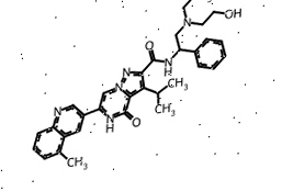 CCN(CCO)CC(NC(=O)c1nn2cc(-c3cnc4cccc(C)c4c3)[nH]c(=O)c2c1C(C)C)c1ccccc1